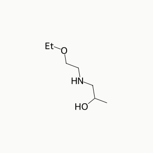 CCOCCNCC(C)O